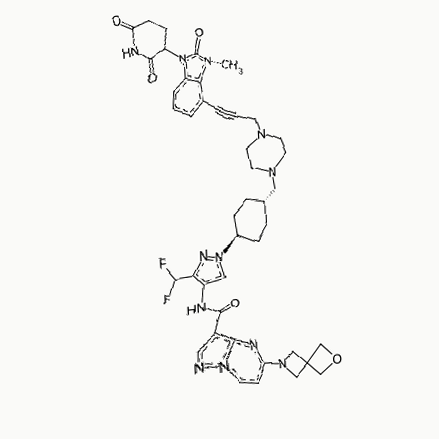 Cn1c(=O)n(C2CCC(=O)NC2=O)c2cccc(C#CCN3CCN(C[C@H]4CC[C@H](n5cc(NC(=O)c6cnn7ccc(N8CC9(COC9)C8)nc67)c(C(F)F)n5)CC4)CC3)c21